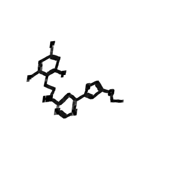 CCOc1csc(-c2cc(NCCc3c(F)cc(F)cc3F)ncn2)c1